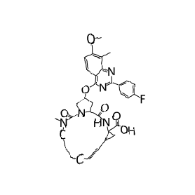 COc1ccc2c(OC3CC4C(=O)NC5(C(=O)O)CC5C=CCCCCN(C)C(=O)N4C3)nc(-c3ccc(F)cc3)nc2c1C